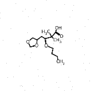 CCCCOC(CC1COCO1)C(C)(C)C(=O)O